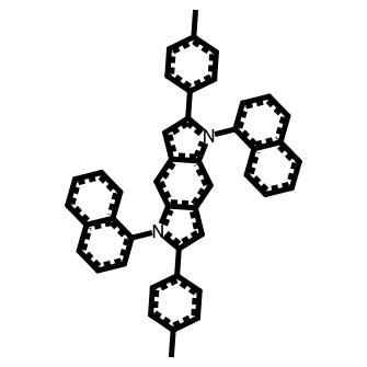 Cc1ccc(-c2cc3cc4c(cc(-c5ccc(C)cc5)n4-c4cccc5ccccc45)cc3n2-c2cccc3ccccc23)cc1